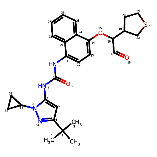 CC(C)(C)c1cc(NC(=O)Nc2ccc(OC(C=O)C3CCSC3)c3ccccc23)n(C2CC2)n1